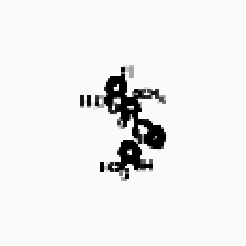 COc1nn([C@H](CNc2ccc(C(=O)O)c(O)c2)Cc2ccccc2)c(=O)cc1-c1cc(Cl)ccc1C(C)=O